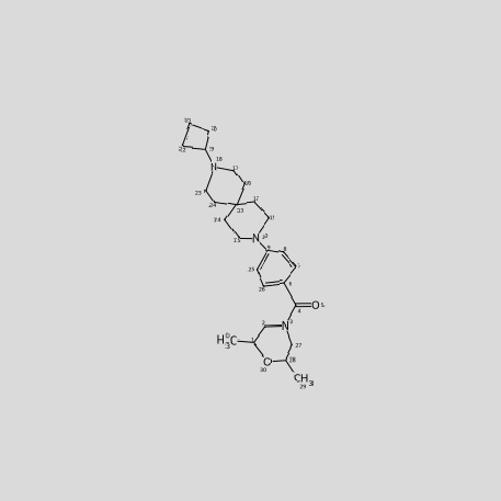 CC1CN(C(=O)c2ccc(N3CCC4(CC3)CCN(C3CCC3)CC4)cc2)CC(C)O1